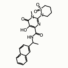 CC(NC(=O)c1nc(N2CCCCS2(=O)=O)n(C)c(=O)c1O)c1ccc2ccccc2c1